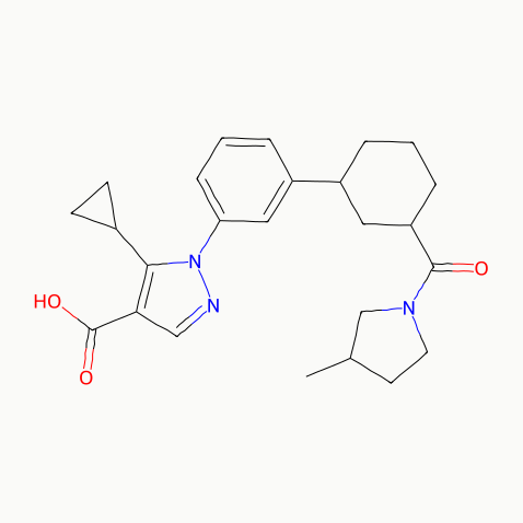 CC1CCN(C(=O)C2CCCC(c3cccc(-n4ncc(C(=O)O)c4C4CC4)c3)C2)C1